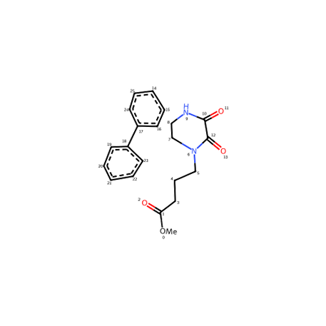 COC(=O)CCCN1CCNC(=O)C1=O.c1ccc(-c2ccccc2)cc1